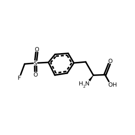 N[C@@H](Cc1ccc(S(=O)(=O)CF)cc1)C(=O)O